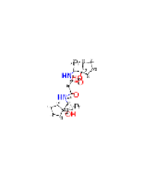 CC(C)[C@@H](NC(=O)CC(=O)N[C@H](C(C)C)C1(O)CCCC1)C1(O)CCCC1